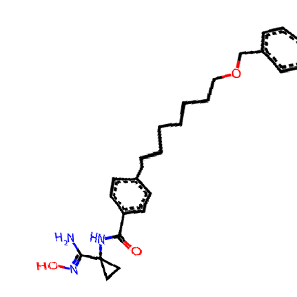 N/C(=N\O)C1(NC(=O)c2ccc(CCCCCCCOCc3ccccc3)cc2)CC1